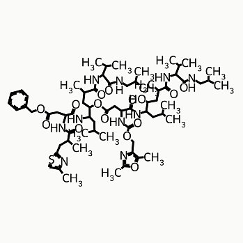 Cc1csc(CC(C)C(=O)NC(CC(=O)OCc2ccccc2)C(=O)NC(CC(C)C)C(CC(C)C(=O)NC(C(=O)NCC(C)C)C(C)C)OC(=O)CC(NC(=O)OCc2nc(C)oc2C)C(=O)NC(CC(C)C)C(O)CC(C)C(=O)NC(C(=O)NCC(C)C)C(C)C)n1